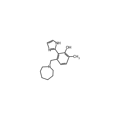 Cc1ccc(CN2CCCCCC2)c(-c2ncc[nH]2)c1O